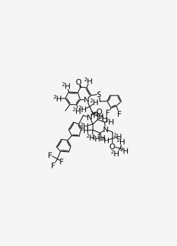 [2H]c1c(C)c([2H])c2c(c1[2H])c(=O)c([2H])c(SCc1cccc(F)c1F)n2C([2H])([2H])C(=O)N(Cc1ccc(-c2ccc(C(F)(F)F)cc2)cc1)C1([2H])C([2H])([2H])C([2H])([2H])N(CC([2H])([2H])OC([2H])([2H])[2H])C([2H])([2H])C1([2H])[2H]